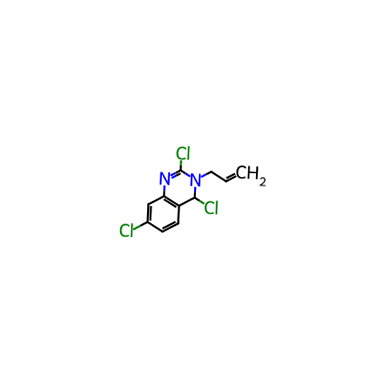 C=CCN1C(Cl)=Nc2cc(Cl)ccc2C1Cl